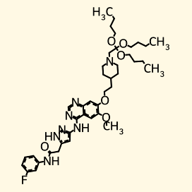 CCCCOC(CN1CCC(CCOc2cc3ncnc(Nc4cc(CC(=O)Nc5cccc(F)c5)[nH]n4)c3cc2OC)CC1)(OCCCC)OCCCC